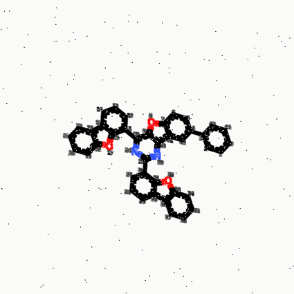 c1ccc(-c2ccc3oc4c(-c5cccc6c5oc5ccccc56)nc(-c5cccc6c5oc5ccccc56)nc4c3c2)cc1